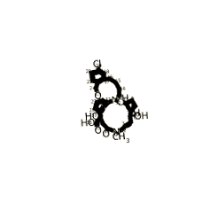 CN1C/C=C/[C@H](O)[C@@H]2CC[C@H]2CN2CCCCc3cc(Cl)ccc3COc3ccc(cc32)[C@](O)(C(=O)O)CC1=O